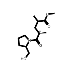 COC(=O)C(C)C[C@@H](C)C(=O)N1CCCC1CO